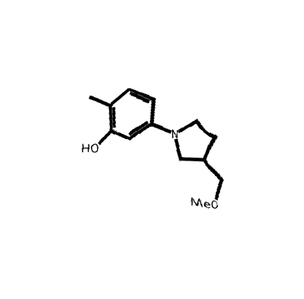 COCC1CCN(c2ccc(C)c(O)c2)C1